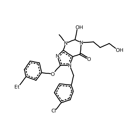 CCc1cccc(Oc2nc3c(n2Cc2ccc(Cl)cc2)C(=O)N(CCCO)C(O)N3C)c1